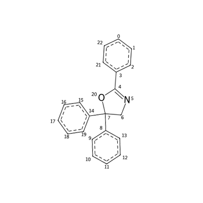 c1ccc(C2=NCC(c3ccccc3)(c3ccccc3)O2)cc1